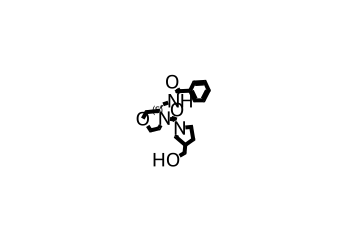 O=C(NC[C@H]1COCCN1C(=O)N1CCC(CO)C1)c1ccccc1